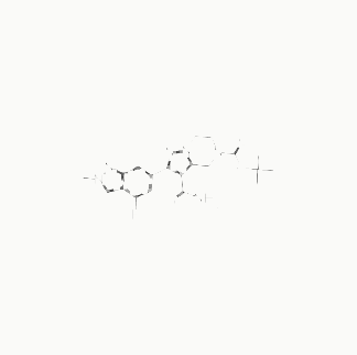 Cn1cc2c(F)cc(-c3nn4c(c3C(N)=O)CN(C(=O)OC(C)(C)C)CC4)cc2n1